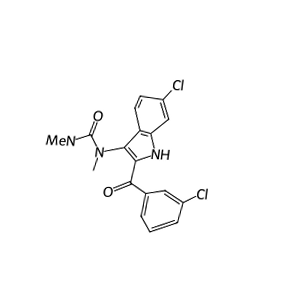 CNC(=O)N(C)c1c(C(=O)c2cccc(Cl)c2)[nH]c2cc(Cl)ccc12